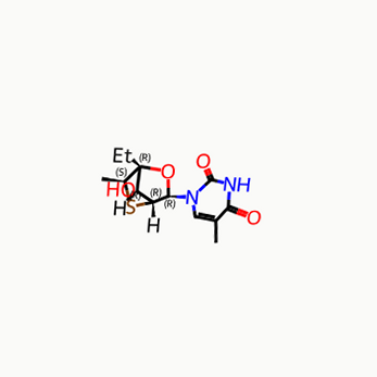 CC[C@]12O[C@@H](n3cc(C)c(=O)[nH]c3=O)[C@H](S[C@H]1C)[C@@H]2O